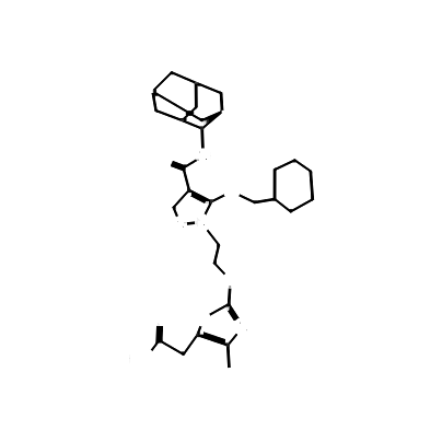 Cc1nc(SCCN2NCC(C(=O)NC3C4CC5CC(C4)CC3C5)=C2OCC2CCCCC2)sc1CC(=O)O